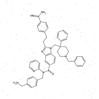 N=C(N)c1ccc(CCc2nc3cc(C(=O)N(Cc4ccc(CN)cc4)c4ccccn4)ccc3n2CC2(c3ccccc3)CCN(Cc3ccccc3)CC2)cc1